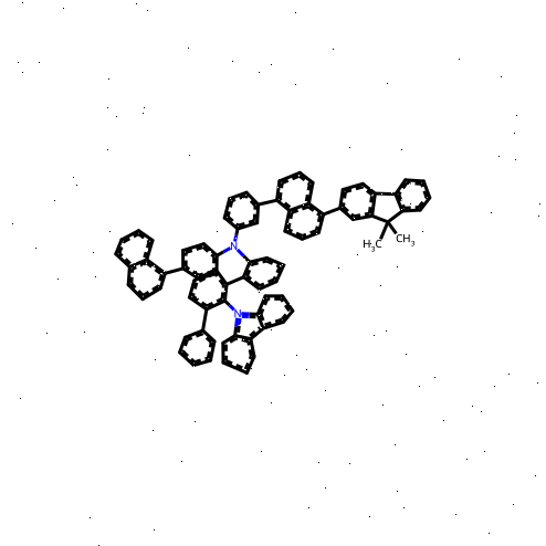 CC1(C)c2ccccc2-c2ccc(-c3cccc4c(-c5cccc(N(c6ccc(-c7cccc8ccccc78)cc6)c6ccccc6-c6cccc(-c7ccccc7)c6-n6c7ccccc7c7ccccc76)c5)cccc34)cc21